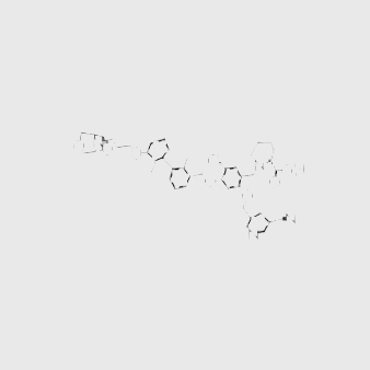 Cc1c(COc2cc(OCc3cncc(C#N)c3)c(CN3CCCC[C@H]3C(=O)O)cc2Cl)cccc1-c1cccc(OCCCN2C3COCC2OC3)c1C